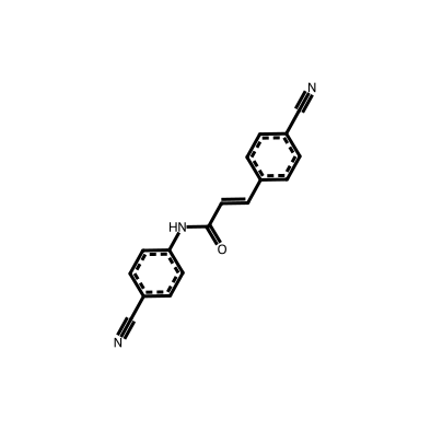 N#Cc1ccc(/C=C/C(=O)Nc2ccc(C#N)cc2)cc1